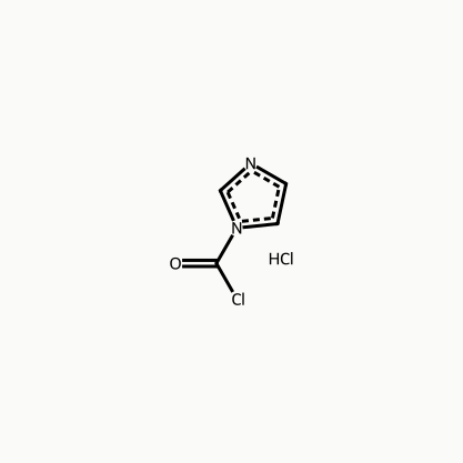 Cl.O=C(Cl)n1ccnc1